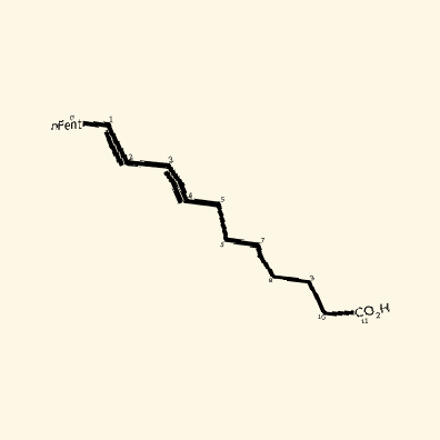 CCCCCC=CC=CCCCCCCC(=O)O